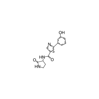 O=C(NC1CCNC1=O)c1cnc(-c2cccc(O)c2)s1